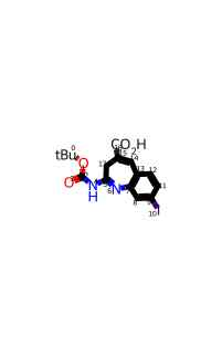 CC(C)(C)OC(=O)NC1=Nc2cc(I)ccc2C=C(C(=O)O)C1